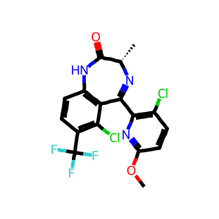 COc1ccc(Cl)c(C2=N[C@@H](C)C(=O)Nc3ccc(C(F)(F)F)c(Cl)c32)n1